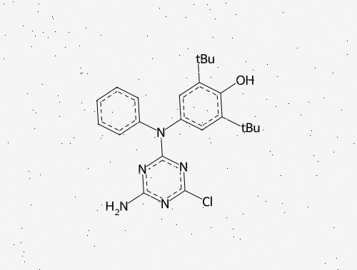 CC(C)(C)c1cc(N(c2ccccc2)c2nc(N)nc(Cl)n2)cc(C(C)(C)C)c1O